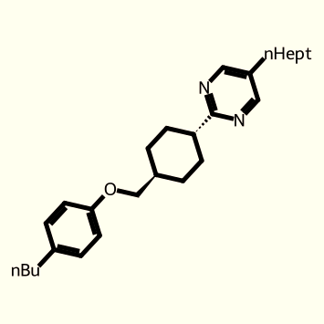 CCCCCCCc1cnc([C@H]2CC[C@H](COc3ccc(CCCC)cc3)CC2)nc1